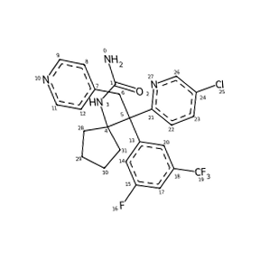 NC(=O)NC1(C(Cc2ccncc2)(c2cc(F)cc(C(F)(F)F)c2)c2ccc(Cl)cn2)CCCC1